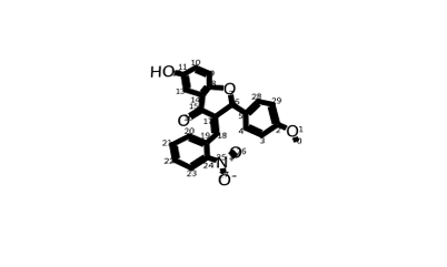 COc1ccc(C2Oc3ccc(O)cc3C(=O)C2=Cc2ccccc2[N+](=O)[O-])cc1